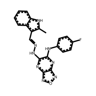 Cc1[nH]c2ccccc2c1C=NNc1nc2nonc2nc1Nc1ccc(F)cc1